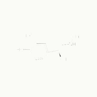 CCCNC[C@@H](C)c1ccc(O)c(O)c1